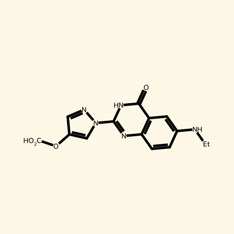 CCNc1ccc2nc(-n3cc(OC(=O)O)cn3)[nH]c(=O)c2c1